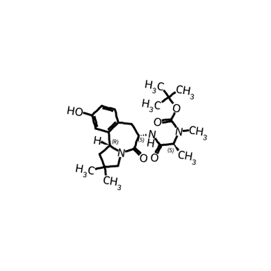 C[C@@H](C(=O)N[C@H]1Cc2ccc(O)cc2[C@H]2CC(C)(C)CN2C1=O)N(C)C(=O)OC(C)(C)C